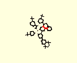 CC(C)(C)c1ccc(N2B3c4oc5ccc(C(C)(C)C)cc5c4N(c4ccc(C(C)(C)C)cc4-c4ccccc4)c4cc5c(oc6ccccc65)c(c43)-c3cc4c(cc32)oc2cc3c(cc24)C(C)(C)CCC3(C)C)cc1